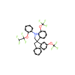 FC(F)C(F)(F)Oc1ccccc1NCC(Cc1ccccc1)(c1cccc(OC(F)(F)F)c1)c1cccc(OC(F)(F)F)c1